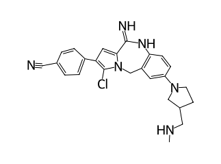 CNCC1CCN(c2ccc3c(c2)Cn2c(cc(-c4ccc(C#N)cc4)c2Cl)C(=N)N3)C1